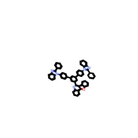 C1=CCC(c2nc3ccccc3n2-c2ccc(-c3cc(-c4ccc(-n5c(-c6ccccc6)nc6ccccc65)cc4)cc(-c4nc5ccccc5c5oc6ccccc6c45)c3)cc2)C=C1